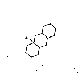 CC(=O)C12CCCCC1CC1CCCCC1C2